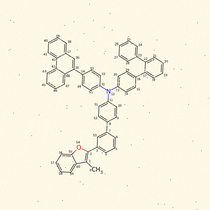 Cc1c(-c2cccc(-c3ccc(N(c4ccc(-c5ccccc5-c5ccccc5)cc4)c4ccc(-c5cc6ccccc6c6ccccc56)cc4)cc3)c2)oc2ccccc12